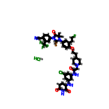 CC1(C)C(=O)N(c2ccc(C#N)c(C(F)(F)F)c2)C(=S)N1c1ccc(OCCC2CCN(CC(=O)Nc3cc(Cl)cc(NC4CCC(=O)NC4=O)c3)CC2)c(CCF)c1.Cl